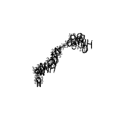 O=C1CCC(N2C(=O)c3cccc(OCCCCCN4CCN(c5ccc(Nc6ncc7ccc(-c8ccncc8)n7n6)cn5)CC4)c3C2=O)C(=O)N1